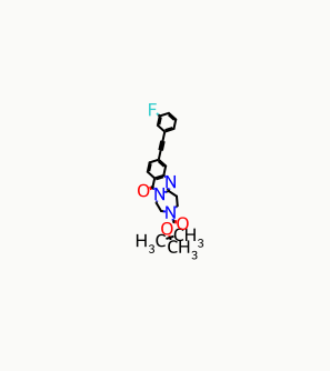 CC(C)(C)OC(=O)N1CCc2nc3cc(C#Cc4cccc(F)c4)ccc3c(=O)n2CC1